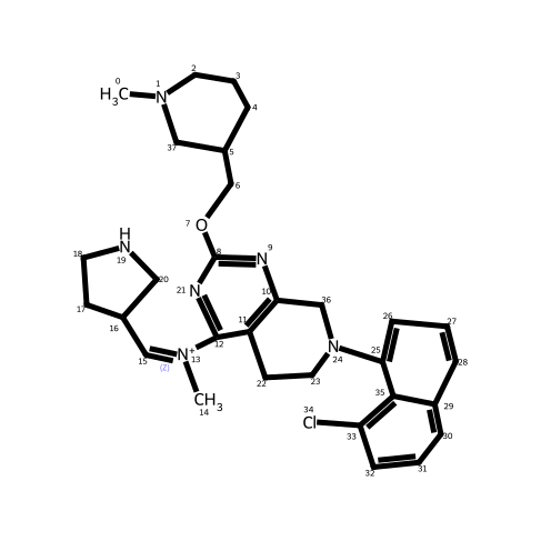 CN1CCCC(COc2nc3c(c(/[N+](C)=C\C4CCNC4)n2)CCN(c2cccc4cccc(Cl)c24)C3)C1